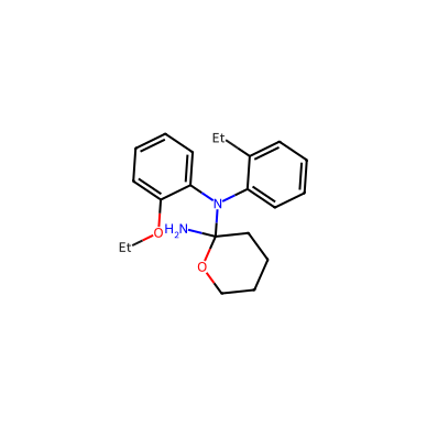 CCOc1ccccc1N(c1ccccc1CC)C1(N)CCCCO1